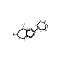 C[C@H]1CNCCc2ccc(N3CCCOCC3)nc21